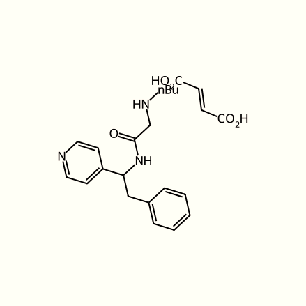 CCCCNCC(=O)NC(Cc1ccccc1)c1ccncc1.O=C(O)C=CC(=O)O